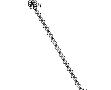 CCC(=O)N(C(O)COCCOCCOCCOCCOCCOCCOCCOCCOCCOCCOCCOCCOCCOCCOCCOCCOCCOCCOCCOCCOCCOCCOCCO)N1C(=O)C=CC1=O